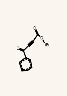 CC(C)(C)OC(=O)C#CC(=O)c1ccccc1